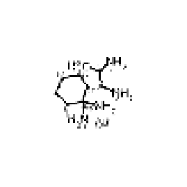 CC(N)CN.NC1(N)CCCCC1.[Au]